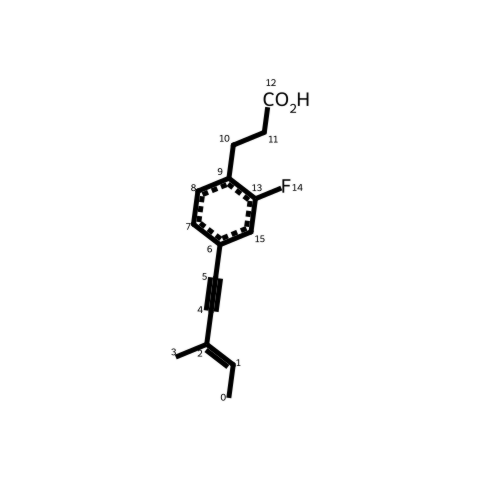 CC=C(C)C#Cc1ccc(CCC(=O)O)c(F)c1